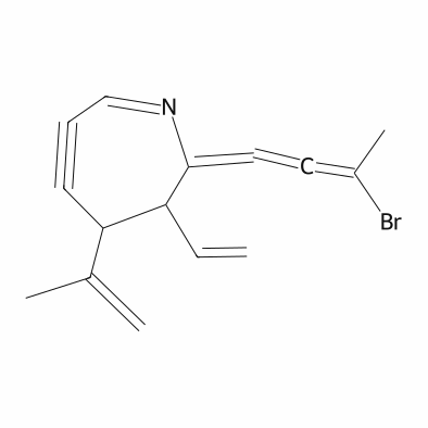 C=CC1C(=C=C=C(C)Br)N=CC#CC1C(=C)C